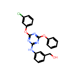 OCc1cccc(Nc2nc(Oc3ccccc3)nc(Oc3cccc(Cl)c3)n2)c1